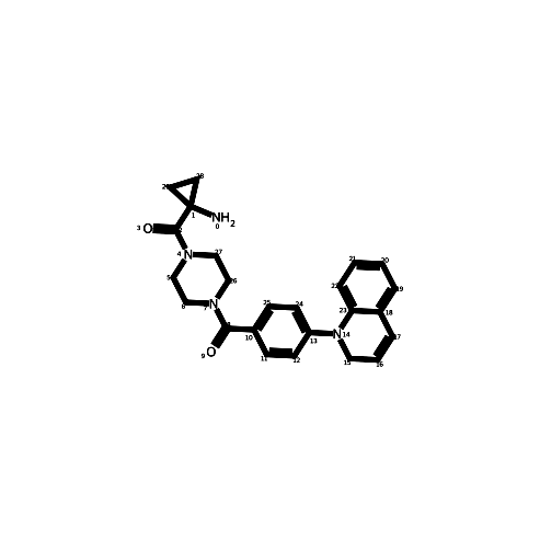 NC1(C(=O)N2CCN(C(=O)c3ccc(N4CC=Cc5ccccc54)cc3)CC2)CC1